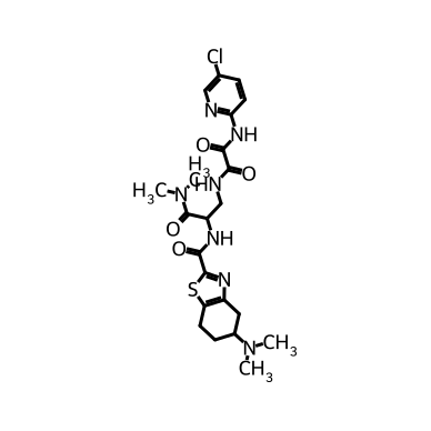 CN(C)C(=O)C(CNC(=O)C(=O)Nc1ccc(Cl)cn1)NC(=O)c1nc2c(s1)CCC(N(C)C)C2